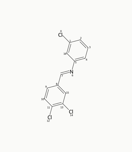 Clc1cccc(N=Cc2ccc(Cl)c(Cl)c2)c1